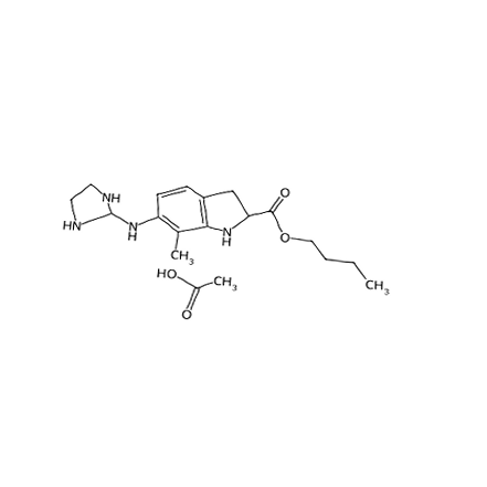 CC(=O)O.CCCCOC(=O)C1Cc2ccc(NC3NCCN3)c(C)c2N1